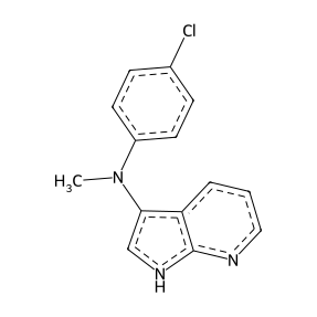 CN(c1ccc(Cl)cc1)c1c[nH]c2ncccc12